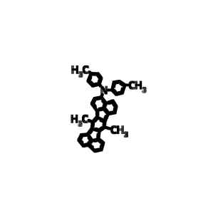 Cc1ccc(N(c2ccc(C)cc2)c2ccc3c4c(C)c5c6cccc7cccc(c5c(C)c4c4cccc2c43)c76)cc1